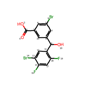 O=C(O)c1cc(Br)cc(C(O)c2cc(Br)c(F)cc2F)c1